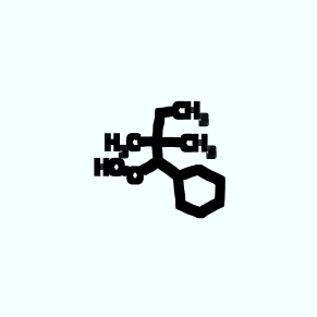 CCC(C)(C)C(OO)C1CCCCC1